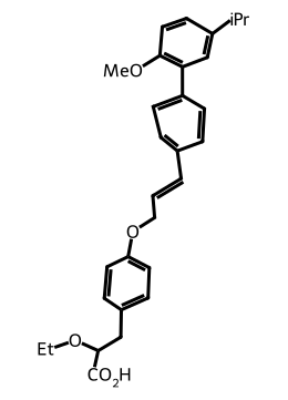 CCOC(Cc1ccc(OCC=Cc2ccc(-c3cc(C(C)C)ccc3OC)cc2)cc1)C(=O)O